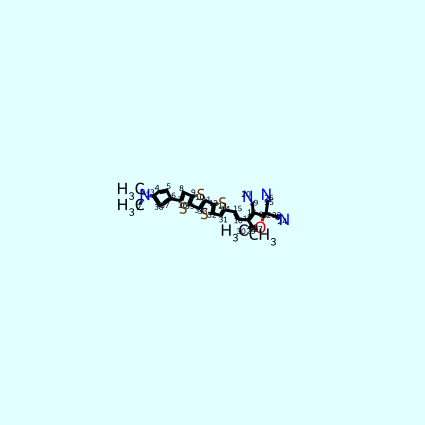 CN(C)c1ccc(-c2cc3sc4c5sc(/C=C/C6=C(C#N)C(=C(C#N)C#N)OC6(C)C)cc5sc4c3s2)cc1